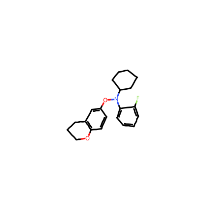 Fc1ccccc1N(Oc1ccc2c(c1)CCCO2)C1CCCCC1